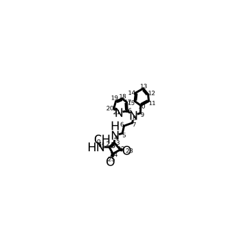 CNc1c(NCCCN(Cc2ccccc2)c2ccccn2)c(=O)c1=O